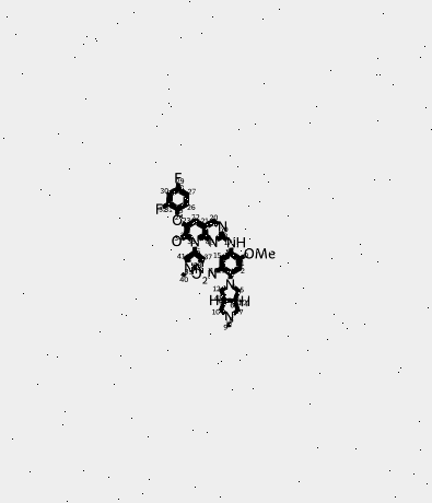 COc1cc(N2C[C@H]3CN(C)C[C@H]3C2)c([N+](=O)[O-])cc1Nc1ncc2cc(Oc3ccc(F)cc3F)c(=O)n(-c3cnn(C)c3)c2n1